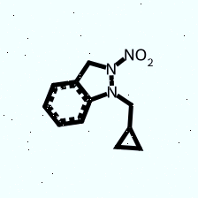 O=[N+]([O-])N1Cc2ccccc2N1CC1CC1